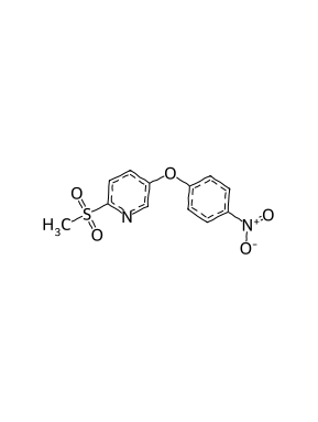 CS(=O)(=O)c1ccc(Oc2ccc([N+](=O)[O-])cc2)cn1